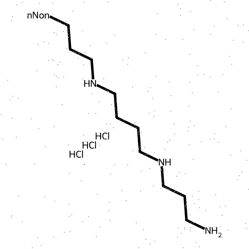 CCCCCCCCCCCCNCCCCNCCCN.Cl.Cl.Cl